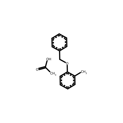 CC(=O)O.Cc1ccccc1OCc1ccccc1